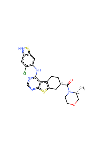 C[C@@H]1COCCN1C(=O)[C@H]1CCc2c(sc3ncnc(Nc4cc5s[nH]c5cc4Cl)c23)C1